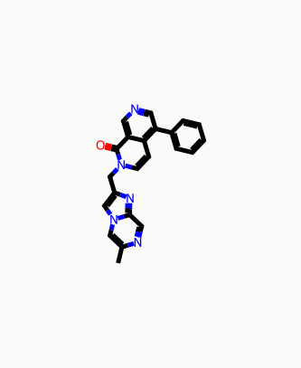 Cc1cn2cc(Cn3ccc4c(-c5ccccc5)cncc4c3=O)nc2cn1